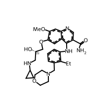 CCc1c(CN2CCOCC2)cccc1Nc1c(C(N)=O)cnc2cc(OC)c(OC[C@@H](O)CNC3CC3)cc12